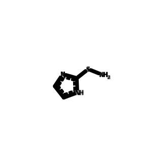 NSc1ncc[nH]1